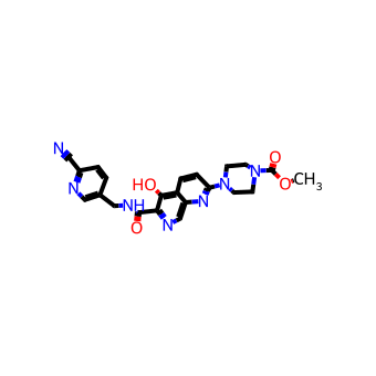 COC(=O)N1CCN(c2ccc3c(O)c(C(=O)NCc4ccc(C#N)nc4)ncc3n2)CC1